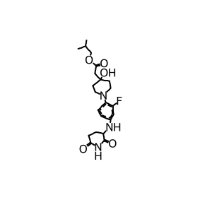 CC(C)COC(=O)CC1(O)CCN(c2ccc(NC3CCC(=O)NC3=O)cc2F)CC1